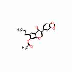 CCCc1cc2c(=O)c(-c3ccc4c(c3)OCO4)coc2cc1OC(C)=O